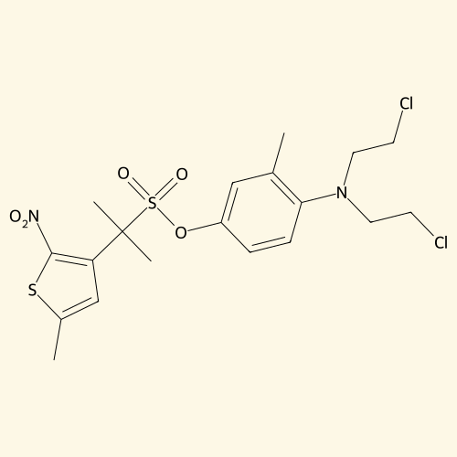 Cc1cc(C(C)(C)S(=O)(=O)Oc2ccc(N(CCCl)CCCl)c(C)c2)c([N+](=O)[O-])s1